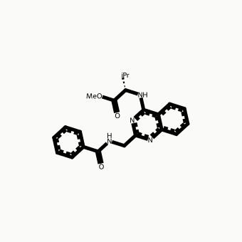 COC(=O)[C@@H](Nc1nc(CNC(=O)c2ccccc2)nc2ccccc12)C(C)C